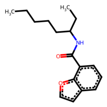 CCCCCC(CC)NC(=O)c1cccc2ccoc12